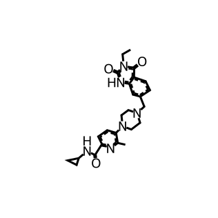 CCn1c(=O)[nH]c2cc(CN3CCN(c4ccc(C(=O)NC5CC5)nc4C)CC3)ccc2c1=O